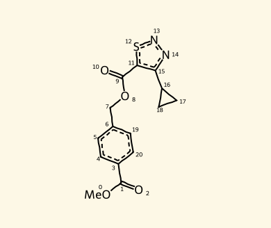 COC(=O)c1ccc(COC(=O)c2snnc2C2CC2)cc1